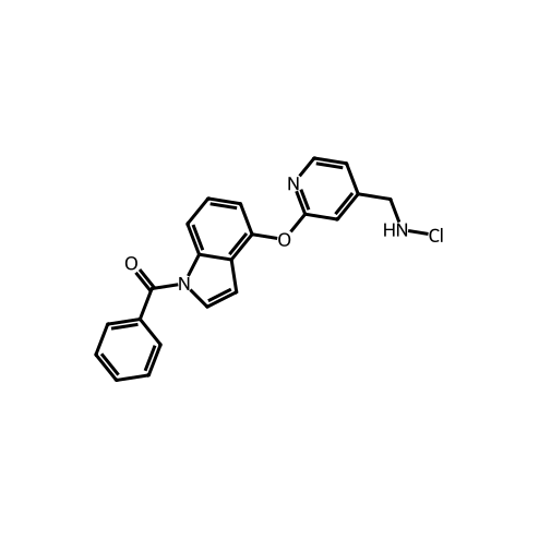 O=C(c1ccccc1)n1ccc2c(Oc3cc(CNCl)ccn3)cccc21